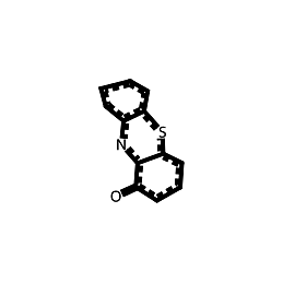 O=c1cccc2sc3ccccc3nc1-2